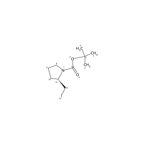 CC(C)(C)OC(=O)N1CCC[C@@H]1CI